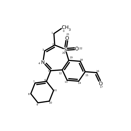 CCC1=CN=C(C2=CCCCC2)c2ccc(C=O)cc2S1(=O)=O